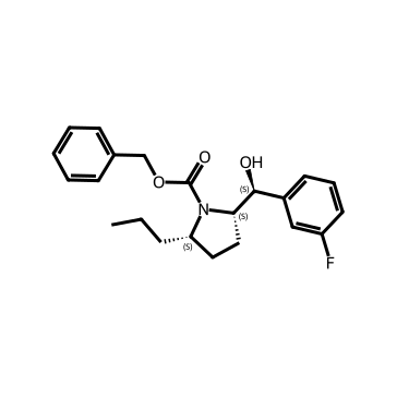 CCC[C@H]1CC[C@@H]([C@@H](O)c2cccc(F)c2)N1C(=O)OCc1ccccc1